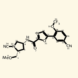 COC[C@H]1C[C@@H](NC(=O)c2ncc(-c3cc(C#N)ccc3OC(F)(F)F)o2)CN1C#N